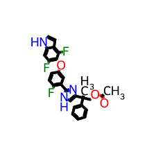 CC(=O)OCC(C)(c1ccccc1)c1c[nH]c(-c2cc(Oc3c(F)cc4[nH]ccc4c3F)ccc2F)n1